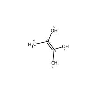 C/C(O)=C(\C)O